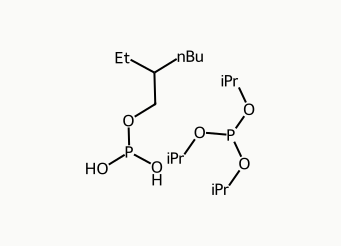 CC(C)OP(OC(C)C)OC(C)C.CCCCC(CC)COP(O)O